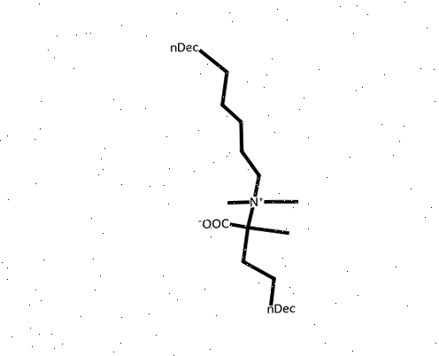 CCCCCCCCCCCCCCC[N+](C)(C)C(C)(CCCCCCCCCCCC)C(=O)[O-]